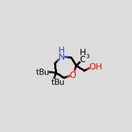 CC1(CO)CNCC(C(C)(C)C)(C(C)(C)C)CO1